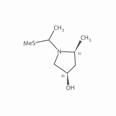 CSC(C)N1C[C@H](O)C[C@@H]1C